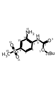 CC(C)(C)OC(=O)Nc1ccc(S(C)(=O)=O)cc1N